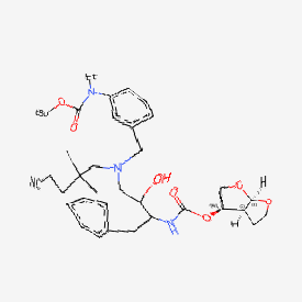 CCN(C(=O)OC(C)(C)C)c1cccc(CN(CC(O)C(Cc2ccccc2)NC(=O)O[C@H]2CO[C@H]3OCC[C@H]32)CC(C)(C)CCC#N)c1